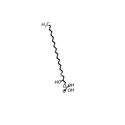 CCCCCCCCCCCCCCCCCCSCC(O)COP(=O)(O)O